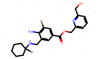 CCC1(NCc2cc(C(=O)OCc3cccc(CO)n3)cc(Br)c2N)CCCCC1